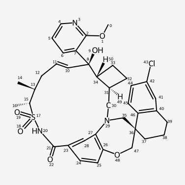 COc1ncccc1[C@@]1(O)/C=C/C[C@H](C)[C@@H](C)S(=O)(=O)NC(=O)c2ccc3c(c2)N(C[C@@H]2CC[C@H]21)C[C@@]1(CCCc2cc(Cl)ccc21)CO3